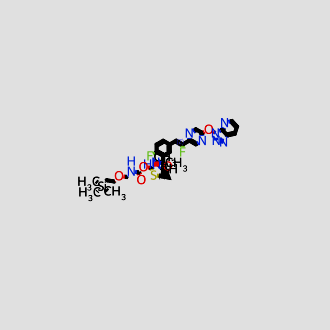 CNC(=O)[C@]12C[C@H]1[C@@](C)(c1cc(/C=C(\F)c3cnc(On4nnc5cccnc54)cn3)ccc1F)N=C(OC(=O)NCOCC[Si](C)(C)C)S2